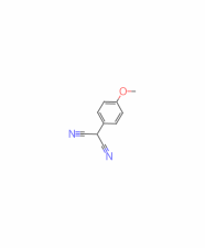 COc1ccc(C(C#N)C#N)cc1